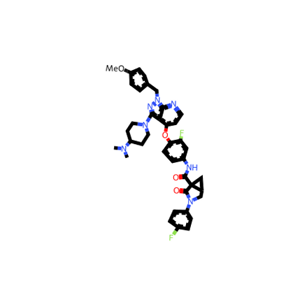 COc1ccc(Cn2nc(N3CCC(N(C)C)CC3)c3c(Oc4ccc(NC(=O)C56CC5CN(c5ccc(F)cc5)C6=O)cc4F)ccnc32)cc1